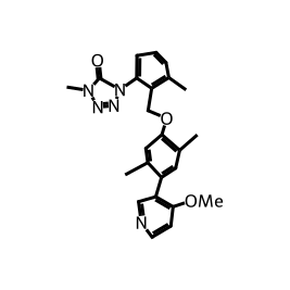 COc1ccncc1-c1cc(C)c(OCc2c(C)cccc2-n2nnn(C)c2=O)cc1C